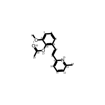 COc1cccc(/C=C/c2cccc(C)n2)c1OC(C)=O